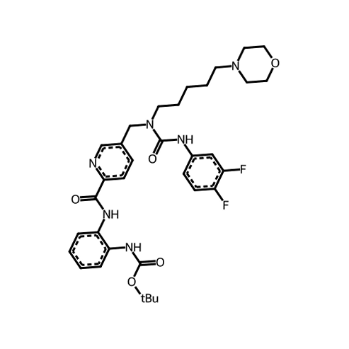 CC(C)(C)OC(=O)Nc1ccccc1NC(=O)c1ccc(CN(CCCCCN2CCOCC2)C(=O)Nc2ccc(F)c(F)c2)cn1